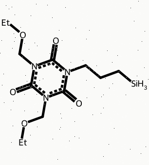 CCOCn1c(=O)n(CCC[SiH3])c(=O)n(COCC)c1=O